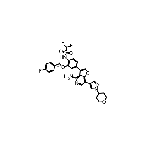 C[C@H](Oc1cc(-c2coc3c(-c4cnn(C5CCOCC5)c4)cnc(N)c23)ccc1NS(=O)(=O)C(F)F)c1ccc(F)cc1